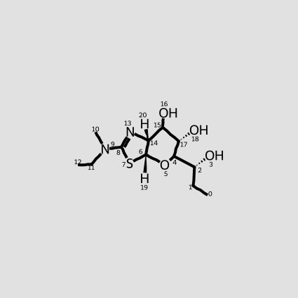 CC[C@@H](O)C1O[C@@H]2SC(N(C)CC)=N[C@@H]2C(O)[C@@H]1O